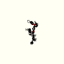 O=C(NS(=O)(=O)c1ccc(NCC2CCOCC2)c([N+](=O)[O-])c1)c1ccc(N2CCN(CC3=C(c4ccc(Cl)cc4)CC(CF)(CF)CC3)CC2)cc1N1CCCOc2nc3[nH]ccc3cc21